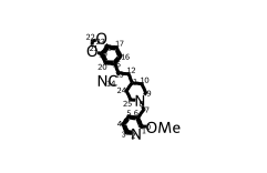 COc1ncccc1CN1CCC(CC(C#N)c2ccc3c(c2)OCO3)CC1